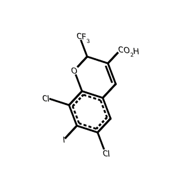 O=C(O)C1=Cc2cc(Cl)c(I)c(Cl)c2OC1C(F)(F)F